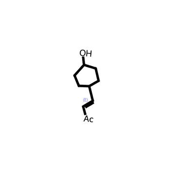 CC(=O)/C=C/C1CCC(O)CC1